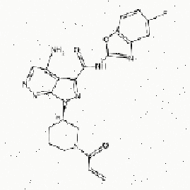 C=CC(=O)N1CCC[C@@H](n2nc(C(=O)Nc3nc4cc(F)ccc4o3)c3c(N)cnnc32)C1